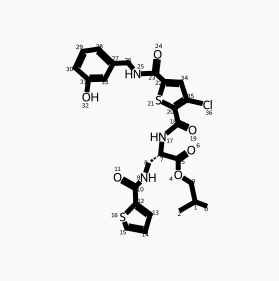 CC(C)COC(=O)[C@H](CNC(=O)c1cccs1)NC(=O)c1sc(C(=O)NCc2cccc(O)c2)cc1Cl